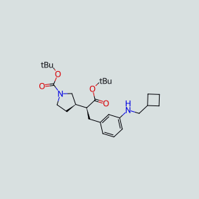 CC(C)(C)OC(=O)[C@@H](Cc1cccc(NCC2CCC2)c1)[C@H]1CCN(C(=O)OC(C)(C)C)C1